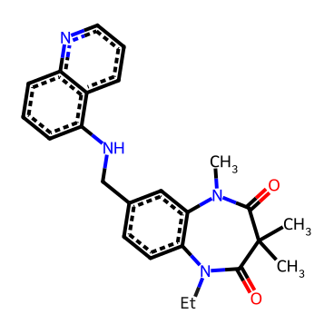 CCN1C(=O)C(C)(C)C(=O)N(C)c2cc(CNc3cccc4ncccc34)ccc21